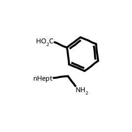 CCCCCCCCN.O=C(O)c1ccccc1